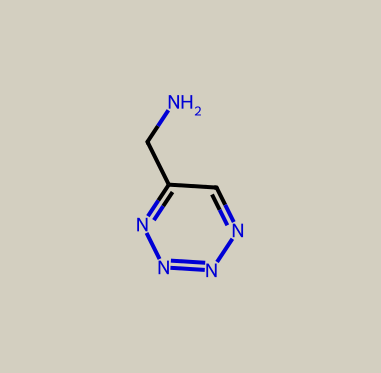 NCc1cnnnn1